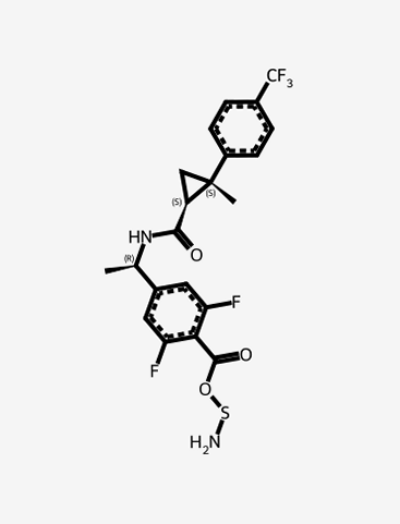 C[C@@H](NC(=O)[C@H]1C[C@]1(C)c1ccc(C(F)(F)F)cc1)c1cc(F)c(C(=O)OSN)c(F)c1